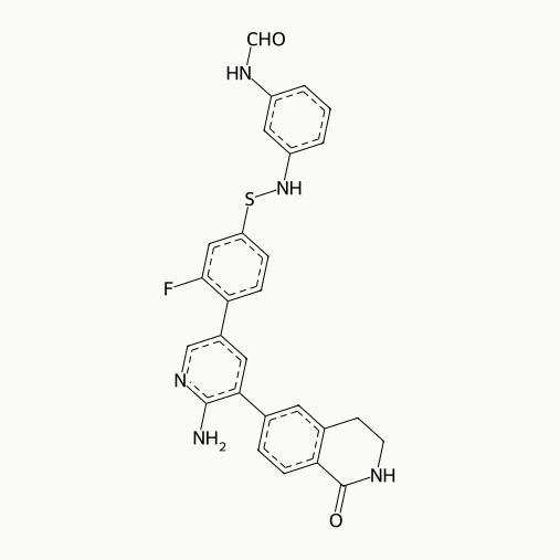 Nc1ncc(-c2ccc(SNc3cccc(NC=O)c3)cc2F)cc1-c1ccc2c(c1)CCNC2=O